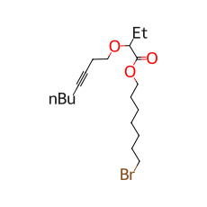 CCCCC#CCCOC(CC)C(=O)OCCCCCCCBr